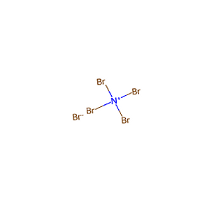 Br[N+](Br)(Br)Br.[Br-]